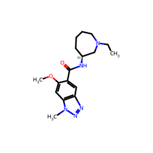 CCN1CCCC[C@H](NC(=O)c2cc3nnn(C)c3cc2OC)C1